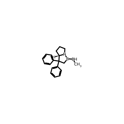 CBB1CC(c2ccccc2)(c2ccccc2)[C@@H]2CCCN12